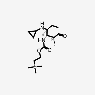 CC[C@H](NC1CC1)[C@@H](NC(=O)OCCS(C)(C)C)[C@@H](C)C=O